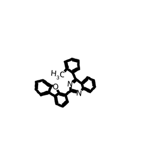 Cc1ccccc1-c1nc(-c2cccc3c2oc2ccccc23)nc2ccccc12